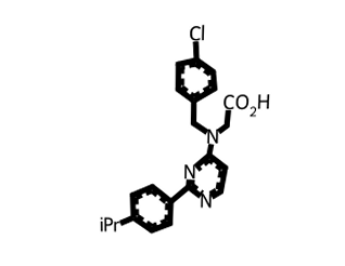 CC(C)c1ccc(-c2nccc(N(CC(=O)O)Cc3ccc(Cl)cc3)n2)cc1